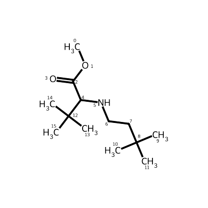 COC(=O)C(NCCC(C)(C)C)C(C)(C)C